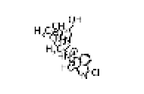 C[C@H](CN(CCCO)C(=O)OC(C)(C)C)NS(=O)(=O)c1cccc2c(Cl)ncc(O)c12